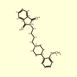 CSc1ccccc1C1CCN(CCCCN2C(=O)c3ccccc3C2=O)CC1